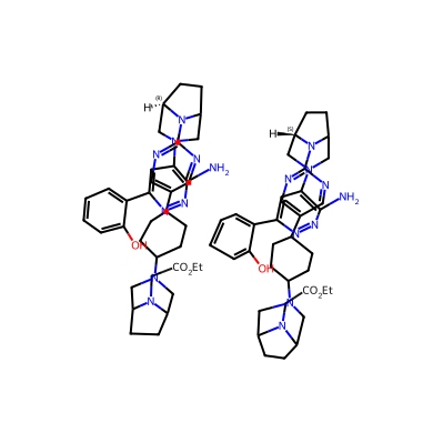 CCOC(=O)CN1C2CCC1CN(C1CCC(c3cnc(N4C5CC[C@@H]4CN(c4cc(-c6ccccc6O)nnc4N)C5)nc3)CC1)C2.CCOC(=O)CN1C2CCC1CN(C1CCC(c3cnc(N4C5CC[C@H]4CN(c4cc(-c6ccccc6O)nnc4N)C5)nc3)CC1)C2